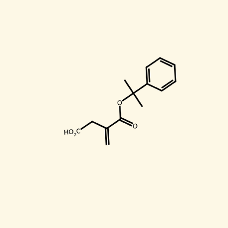 C=C(CC(=O)O)C(=O)OC(C)(C)c1ccccc1